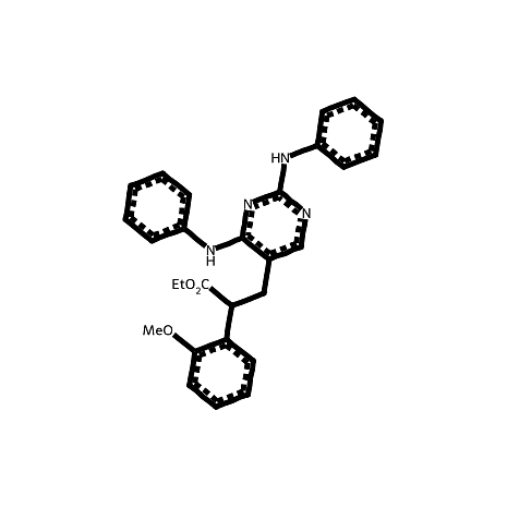 CCOC(=O)C(Cc1cnc(Nc2ccccc2)nc1Nc1ccccc1)c1ccccc1OC